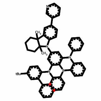 CC(C)(C)c1ccc(N2c3ccccc3B3c4ccccc4N(c4ccccc4)c4cc(N5c6ccc(-c7cccnc7)cc6C6(C)CCCCC56C)cc2c43)c(-c2ccccc2)c1